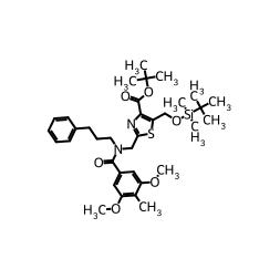 COc1cc(C(=O)N(CCCc2ccccc2)Cc2nc(C(=O)OC(C)(C)C)c(CO[Si](C)(C)C(C)(C)C)s2)cc(OC)c1C